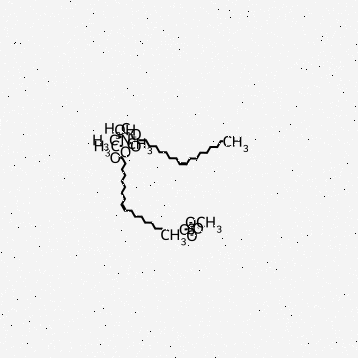 CCCCCCCC/C=C\CCCCCCCC(=O)OC(C)[N+](C)(C(C)O)C(C)OC(=O)CCCCCCC/C=C\CCCCCCCC.COS(=O)(=O)[O-]